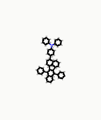 c1ccc(-c2c3c(c(-c4ccccc4)c4ccccc24)-c2ccc(-c4ccc(N(c5ccccc5)c5ccccc5)cc4)c4cccc-3c24)cc1